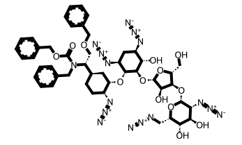 [N-]=[N+]=NC[C@@H]1O[C@H](O[C@H]2[C@@H](O)[C@H](O[C@@H]3[C@@H](O)[C@H](N=[N+]=[N-])C[C@H](N=[N+]=[N-])[C@H]3O[C@H]3C[C@H]([C@@H](COCc4ccccc4)N(Cc4ccccc4)C(=O)OCc4ccccc4)CC[C@H]3N=[N+]=[N-])O[C@@H]2CO)[C@H](N=[N+]=[N-])[C@@H](O)[C@@H]1O